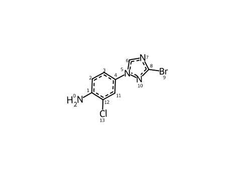 Nc1ccc(-n2cnc(Br)n2)cc1Cl